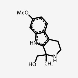 COc1ccc2c3c([nH]c2c1)C(C)(CO)NCC3